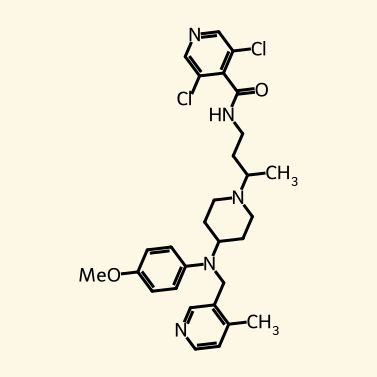 COc1ccc(N(Cc2cnccc2C)C2CCN(C(C)CCNC(=O)c3c(Cl)cncc3Cl)CC2)cc1